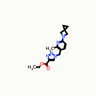 CCOC(=O)c1cn(Cc2ccc(N3CC4(CC4)C3)nc2C)nn1